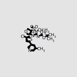 Cc1cncc(-c2cc(Cl)c([C@]34COCC3S(=O)(=O)N(C)/C(=N\C(=O)OC(C)(C)C)N4)s2)c1